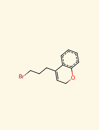 BrCCCC1=CCOc2ccccc21